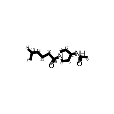 CC(=O)NC1CCN(C(=O)CCCC(C)C)CC1